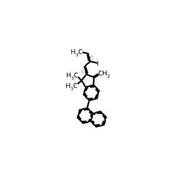 C=C1/C(=C\C(I)=C/C)C(C)(C)c2cc(-c3cccc4ccccc34)ccc21